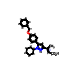 C/C(=C\C(=O)O)c1cc(-c2ccc(OCc3ccccc3)cc2)n(C2CCCCC2)n1